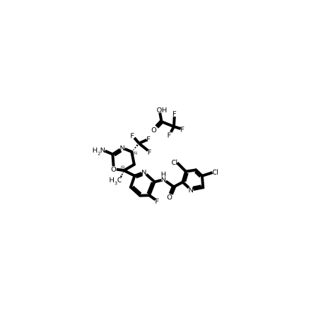 C[C@@]1(c2ccc(F)c(NC(=O)c3ncc(Cl)cc3Cl)n2)C[C@@H](C(F)(F)F)N=C(N)O1.O=C(O)C(F)(F)F